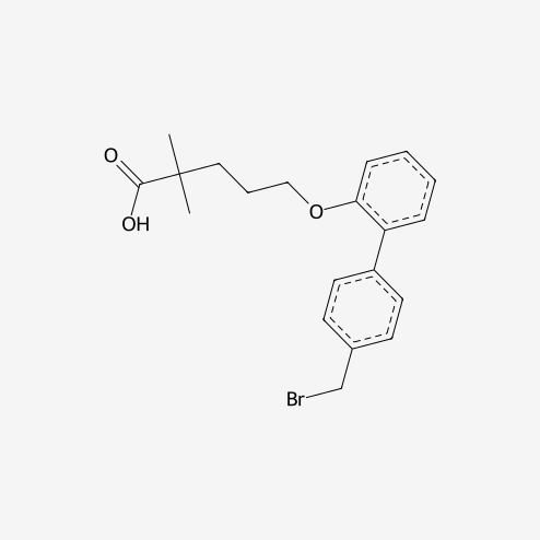 CC(C)(CCCOc1ccccc1-c1ccc(CBr)cc1)C(=O)O